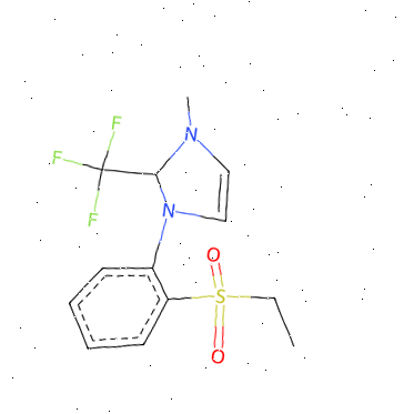 CCS(=O)(=O)c1ccccc1N1C=CN(C)C1C(F)(F)F